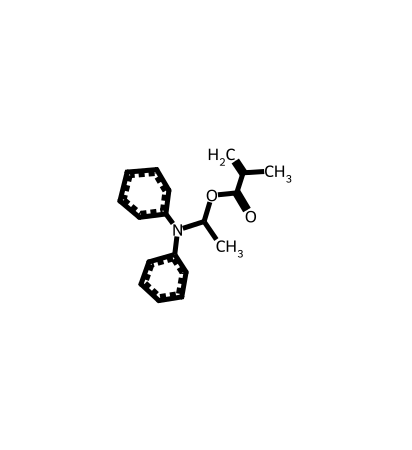 C=C(C)C(=O)OC(C)N(c1ccccc1)c1ccccc1